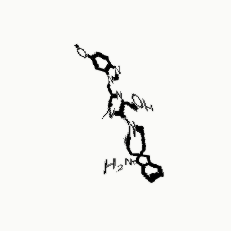 COc1ccc2ncn(Cc3cnc(N4CCC5(CC4)Cc4ccccc4[C@H]5N)c(CO)n3)c2c1